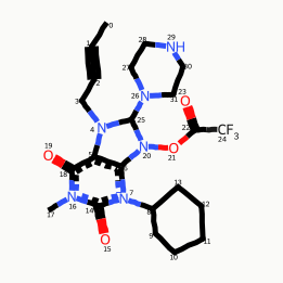 CC#CCN1c2c(n(C3CCCCC3)c(=O)n(C)c2=O)N(OC(=O)C(F)(F)F)C1N1CCNCC1